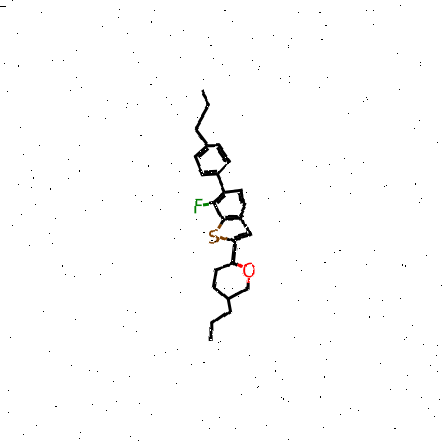 CCCc1ccc(-c2ccc3cc(C4CCC(CCC)CO4)sc3c2F)cc1